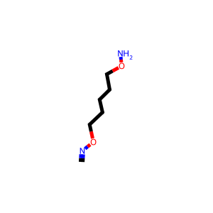 C=NOCCCCCON